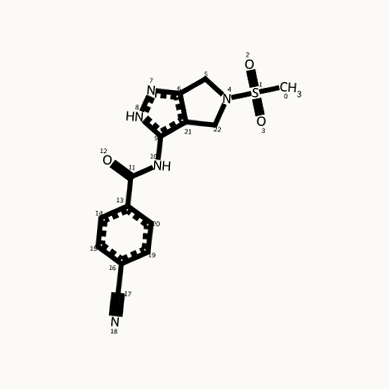 CS(=O)(=O)N1Cc2n[nH]c(NC(=O)c3ccc(C#N)cc3)c2C1